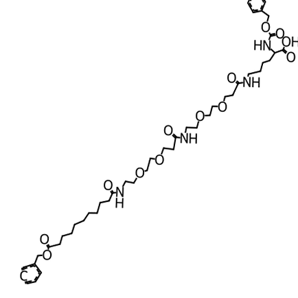 O=C(CCCCCCCCCC(=O)OCc1ccccc1)NCCOCCOCCC(=O)NCCOCCOCCC(=O)NCCCCC(NC(=O)OCc1ccccc1)C(=O)O